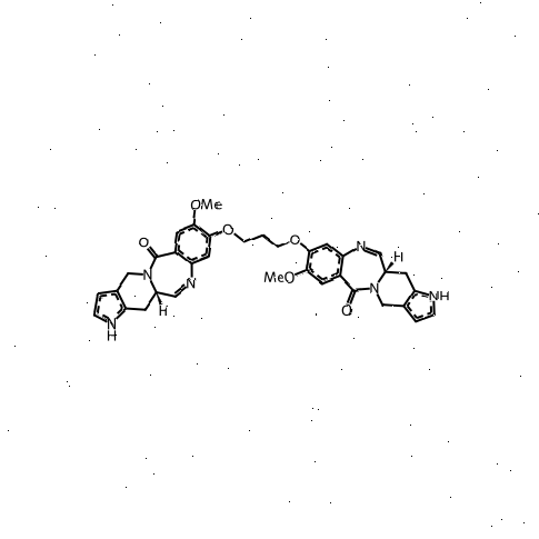 COc1cc2c(cc1OCCCOc1cc3c(cc1OC)C(=O)N1Cc4cc[nH]c4C[C@H]1C=N3)N=C[C@@H]1Cc3[nH]ccc3CN1C2=O